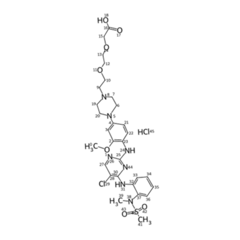 COc1cc(N2CCN(CCOCCOCC(=O)O)CC2)ccc1Nc1ncc(Cl)c(Nc2ccccc2N(C)S(C)(=O)=O)n1.Cl